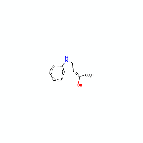 O=C(O)C(O)=C1CNc2ccccc21